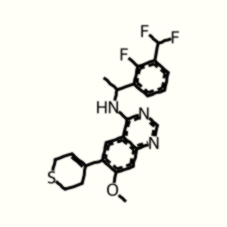 COc1cc2ncnc(NC(C)c3cccc(C(F)F)c3F)c2cc1C1=CCSCC1